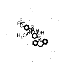 CCCN=S(=O)(N[C@H]1CCCC(SN2c3ccccc3CCc3ccccc32)[C@@H]1O)c1ccc(OC(F)(F)F)cc1